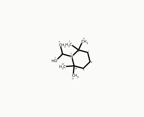 CC(O)N1C(C)(C)CCCC1(C)C